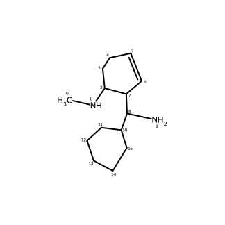 CNC1CCC=CC1C(N)C1CCCCC1